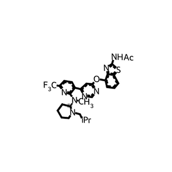 CC(=O)Nc1nc2c(Oc3cc(-c4ccc(C(F)(F)F)nc4N(C)[C@@H]4CCCCN4CC(C)C)ncn3)cccc2s1